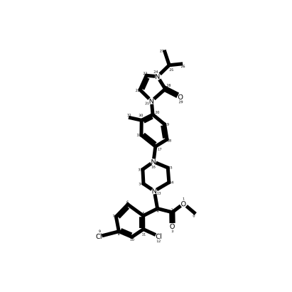 COC(=O)C(c1ccc(Cl)cc1Cl)N1CCN(c2ccc(-n3ccn(C(C)C)c3=O)c(C)c2)CC1